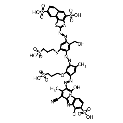 Cc1cc(N=Nc2c(C)c(C#N)c3nc4c(Cl)c(S(=O)(=O)O)ccc4n3c2O)c(OCCCS(=O)(=O)O)cc1N=Nc1cc(CO)c(N=Nc2nc3c(S(=O)(=O)O)cc4ccc(S(=O)(=O)O)cc4c3s2)cc1SCCCS(=O)(=O)O